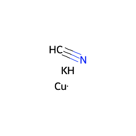 C#N.[Cu].[KH]